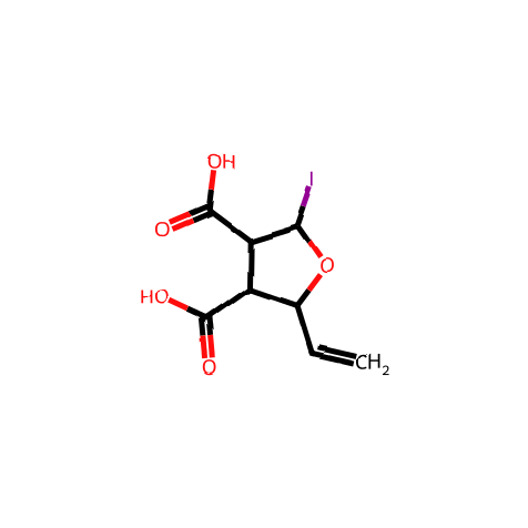 C=CC1OC(I)C(C(=O)O)C1C(=O)O